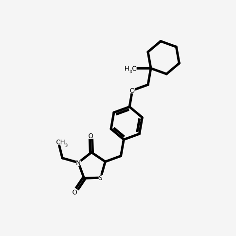 CCN1C(=O)SC(Cc2ccc(OCC3(C)CCCCC3)cc2)C1=O